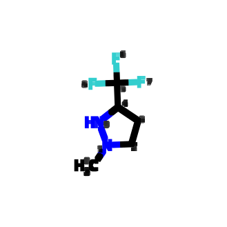 CN1[CH]CC(C(F)(F)F)N1